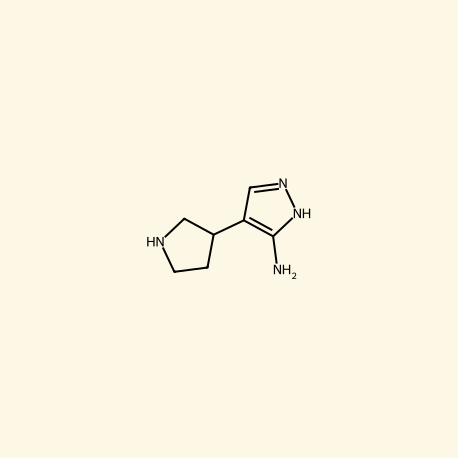 Nc1[nH]ncc1C1CCNC1